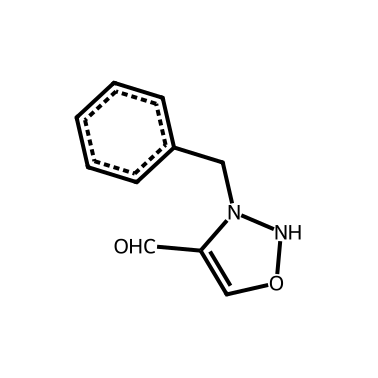 O=CC1=CONN1Cc1ccccc1